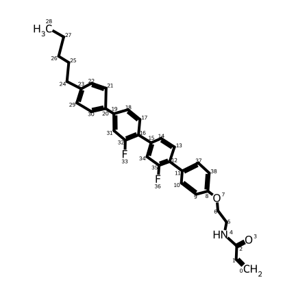 C=CC(=O)NCCOc1ccc(-c2ccc(-c3ccc(-c4ccc(CCCCC)cc4)cc3F)cc2F)cc1